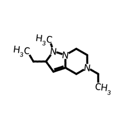 CCC1C=C2CN(CC)CCN2N1C